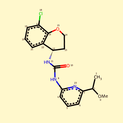 COC(C)c1cccc(NC(=O)N[C@H]2CCOc3c(Cl)cccc32)n1